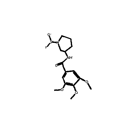 COc1cc(C(=O)NC2CCCN([S+]([O-])F)C2)cc(OC)c1OC